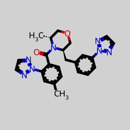 Cc1ccc(C(=O)N2[C@H](Cc3cccc(-n4nccn4)c3)COC[C@H]2C)c(-n2nccn2)c1